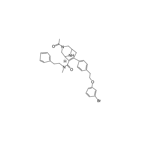 CC(=O)N1CC2CC(c3ccc(CCOc4cccc(Br)c4)cc3)=C(C(=O)N(C)CCc3ccccc3)[C@@H](C1)N2